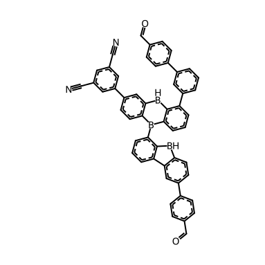 N#Cc1cc(C#N)cc(-c2ccc3c(c2)Bc2c(cccc2-c2cccc(-c4ccc(C=O)cc4)c2)B3c2cccc3c2Bc2ccc(-c4ccc(C=O)cc4)cc2-3)c1